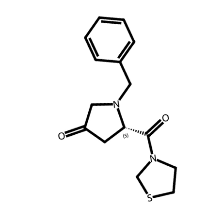 O=C1C[C@@H](C(=O)N2CCSC2)N(Cc2ccccc2)C1